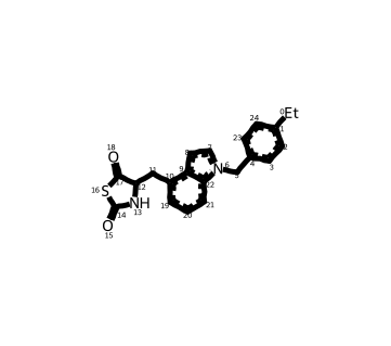 CCc1ccc(Cn2ccc3c(CC4NC(=O)SC4=O)cccc32)cc1